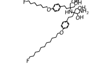 NC(O)C(CO)(CCc1ccc(OCCCCCCCCCCCF)cc1)NC(CO)(CO)CCc1ccc(OCCCCCCCF)cc1